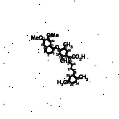 COc1cc2nccc(Oc3cc(C)c(N(CCCSc4cc(C)ccc4C)C(=O)O)cc3C)c2cc1OC